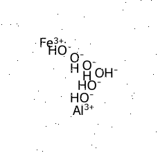 [Al+3].[Fe+3].[OH-].[OH-].[OH-].[OH-].[OH-].[OH-]